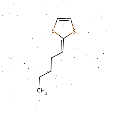 CCCCC=C1SC=CS1